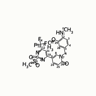 CNc1ccc(Cn2cc(-c3cc(C(F)(F)F)nc(S(C)(=O)=O)n3)ccc2=O)cc1OC